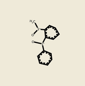 C[S+]([O-])c1ccccc1[S+]([O-])c1[c]cccc1